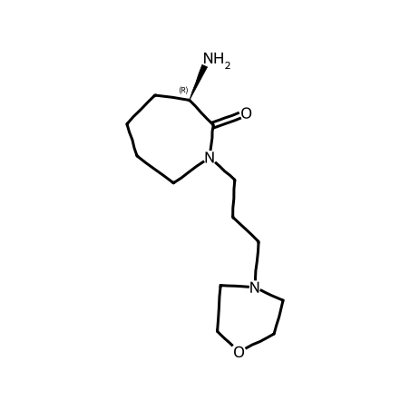 N[C@@H]1CCCCN(CCCN2CCOCC2)C1=O